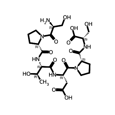 C[C@@H](O)[C@H](NC(=O)[C@@H]1CCCN1C(=O)[C@@H](N)CO)C(=O)N[C@@H](CC(=O)O)C(=O)N1CCC[C@H]1C(=O)N[C@@H](CO)C(=O)O